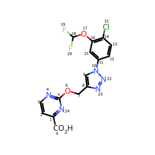 O=C(O)c1ccnc(OCc2cn(-c3ccc(Cl)c(OC(F)F)c3)nn2)n1